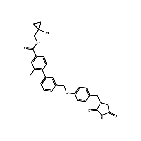 Cc1cc(C(=O)NCC2(O)CC2)ccc1-c1cccc(COc2ccc(Cn3oc(=O)[nH]c3=O)cc2)c1